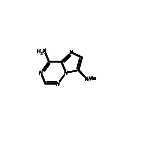 CNc1cnc2c(N)ncnn12